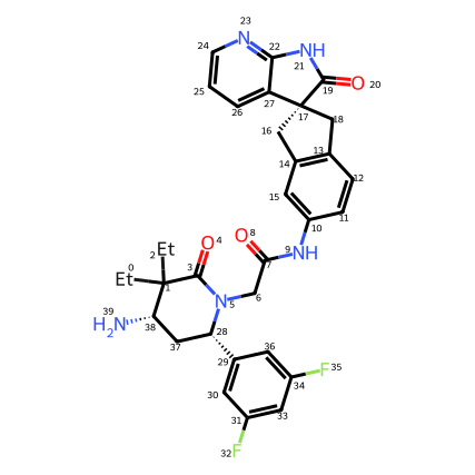 CCC1(CC)C(=O)N(CC(=O)Nc2ccc3c(c2)C[C@@]2(C3)C(=O)Nc3ncccc32)[C@H](c2cc(F)cc(F)c2)C[C@@H]1N